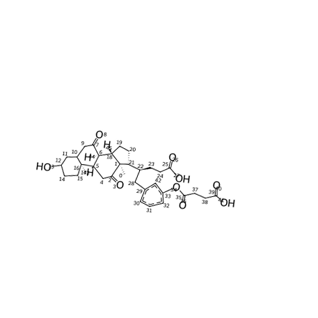 C[C@]12C(=O)C[C@H]3[C@@H](C(=O)CC4CC(O)CC[C@@]43C)[C@@H]1CC[C@@H]2[C@@H](CCC(=O)O)Cc1cccc(OC(=O)CCC(=O)O)c1